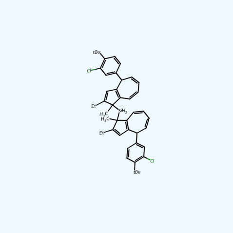 CCC1=CC2=C(C=CC=CC2c2ccc(C(C)(C)C)c(Cl)c2)C1(C)[SiH2]C1(C)C(CC)=CC2=C1C=CC=CC2c1ccc(C(C)(C)C)c(Cl)c1